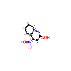 O=[N+]([O-])c1cc(O)nc2ccccc12